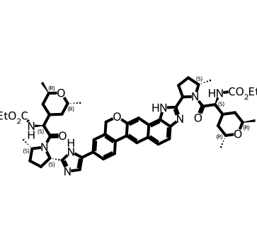 CCOC(=O)N[C@H](C(=O)N1C(c2nc3ccc4cc5c(cc4c3[nH]2)OCc2cc(-c3cnc([C@@H]4CC[C@H](C)N4C(=O)[C@@H](NC(=O)OCC)C4C[C@@H](C)O[C@H](C)C4)[nH]3)ccc2-5)CC[C@@H]1C)C1C[C@@H](C)O[C@H](C)C1